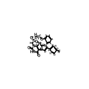 COc1ccccc1-n1c(-c2ccc(F)cc2)cn2c3c(=O)[nH]c(=O)n(CS(C)(=O)=O)c3nc12